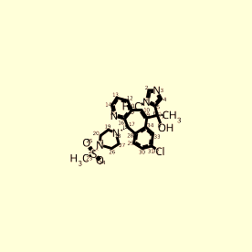 Cn1cncc1[C@@](C)(O)C1=Cc2cccnc2[C@@H](N2CCN(S(C)(=O)=O)CC2)c2ccc(Cl)cc21